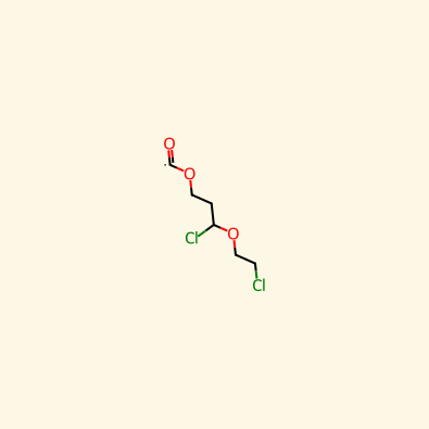 O=[C]OCCC(Cl)OCCCl